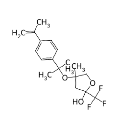 C=C(C)c1ccc(C(C)(C)OC2(C)COC(O)(C(F)(F)F)C2)cc1